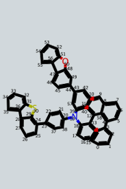 c1ccc(-c2cccc3cccc(-c4ccccc4N(c4ccc(-c5cccc6c5sc5ccccc56)cc4)c4cccc(-c5ccc6c(c5)oc5ccccc56)c4)c23)cc1